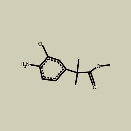 COC(=O)C(C)(C)c1ccc(N)c(Cl)c1